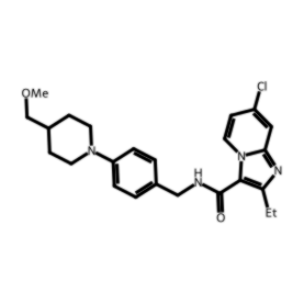 CCc1nc2cc(Cl)ccn2c1C(=O)NCc1ccc(N2CCC(COC)CC2)cc1